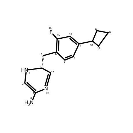 NC1=CN[C@H](Cc2ccc(C3CCC3)cc2F)C=N1